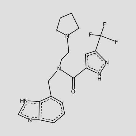 O=C(c1cc(C(F)(F)F)n[nH]1)N(CCN1CCCC1)Cc1cccc2nc[nH]c12